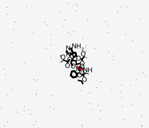 CO[C@H](C)C(=O)O[C@@H]1[C@@](C#N)(COP(=O)(N[C@@H](C)C(=O)OC(C)C)Oc2ccccc2)OC[C@@]1(OC(=O)[C@@H](C)OC)c1ccc2c(N)ncnn12